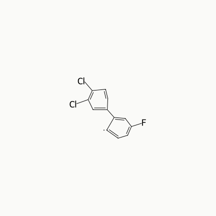 Fc1cc[c]c(-c2ccc(Cl)c(Cl)c2)c1